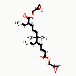 C=C/C(=C\C=C\C(C)(C)/C(C=C)=C/C=C/C(=O)OCC1CO1)C(=O)OCC1CO1